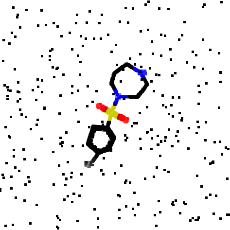 O=S(=O)(c1ccc(C(F)(F)F)cc1)N1CCCNCC1